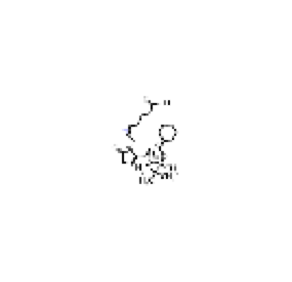 CC(C)(C)[Si](C)(C)O[C@H](CCC1=CCC(=O)[C@@H]1C/C=C\CCCC(=O)O)C1CCCCC1